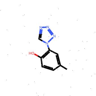 Cc1ccc(O)c(-n2cnnn2)c1